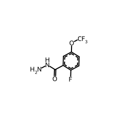 NNC(=O)c1cc(OC(F)(F)F)ccc1F